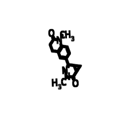 CN1N=C(c2ccc3c(c2)CCC(=O)N3C)C2CC2C1=O